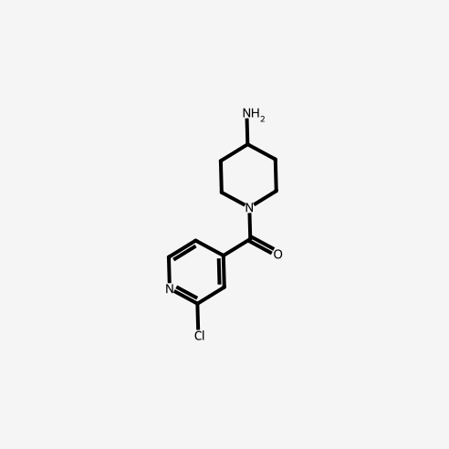 NC1CCN(C(=O)c2ccnc(Cl)c2)CC1